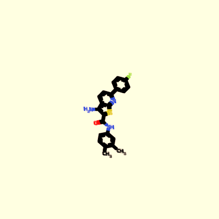 Cc1ccc(NC(=O)c2sc3nc(-c4ccc(F)cc4)ccc3c2N)cc1C